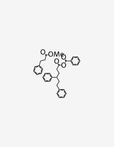 COC(=O)CCc1ccccc1.O=C(CCC(CCc1ccccc1)c1ccccc1)OC(=O)c1ccccc1